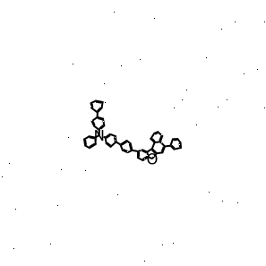 c1ccc(-c2ccc(N(c3ccccc3)c3ccc(-c4ccc(-c5ccc6oc7cc(-c8ccccc8)c8ccccc8c7c6c5)cc4)cc3)cc2)cc1